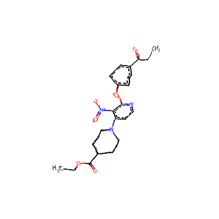 CCOC(=O)C1CCN(c2ccnc(Oc3ccc(C(=O)CC)cc3)c2[N+](=O)[O-])CC1